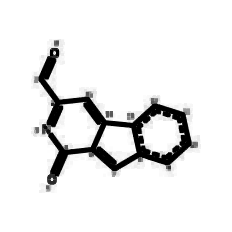 O=CC1=NC(=O)C2=Cc3ccccc3C2=C1